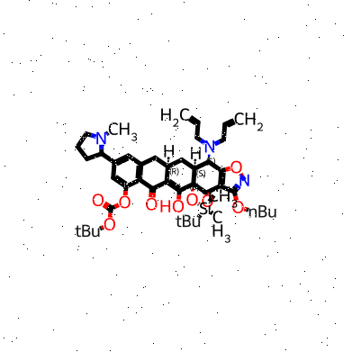 C=CCN(CC=C)[C@@H]1c2onc(OCCCC)c2C(=O)[C@@]2(O[Si](C)(C)C(C)(C)C)C(O)=C3C(=O)c4c(cc(C5CCCN5C)cc4OC(=O)OC(C)(C)C)C[C@H]3C[C@@H]12